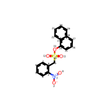 O=[N+]([O-])c1ccccc1CS(=O)(=O)Oc1cccc2ccccc12